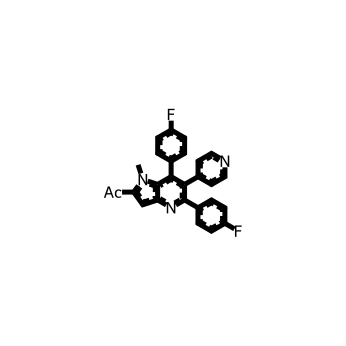 CC(=O)c1cc2nc(-c3ccc(F)cc3)c(-c3ccncc3)c(-c3ccc(F)cc3)c2n1C